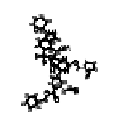 CN1CCC[C@H]1COc1nc(N2CCN(C(=O)OCc3ccccc3)[C@@H](CC#N)C2)c2[nH]cc(C(O)c3c(C(F)(F)F)ccc4c3cnn4C3CCCCO3)c2n1